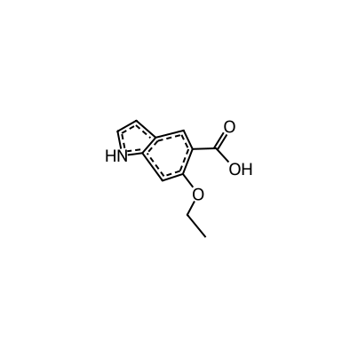 CCOc1cc2[nH]ccc2cc1C(=O)O